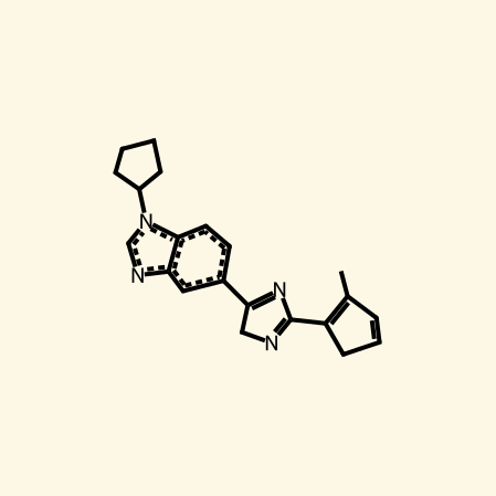 CC1=C(C2=NCC(c3ccc4c(c3)ncn4C3CCCC3)=N2)CC=C1